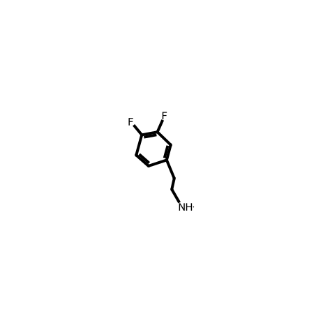 [NH]CCc1ccc(F)c(F)c1